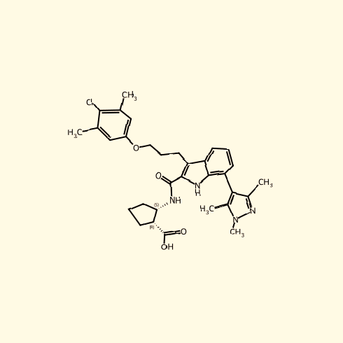 Cc1cc(OCCCc2c(C(=O)N[C@H]3CCC[C@H]3C(=O)O)[nH]c3c(-c4c(C)nn(C)c4C)cccc23)cc(C)c1Cl